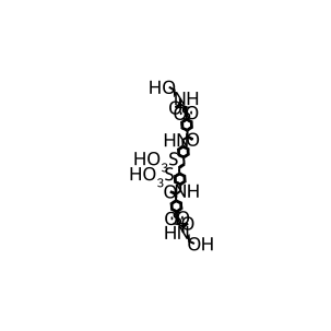 O=C(CS(=O)(=O)c1ccc(C(=O)Nc2ccc(C=Cc3ccc(NC(=O)c4ccc(S(=O)(=O)CC(=O)NCCO)cc4)cc3S(=O)(=O)O)c(S(=O)(=O)O)c2)cc1)NCCO